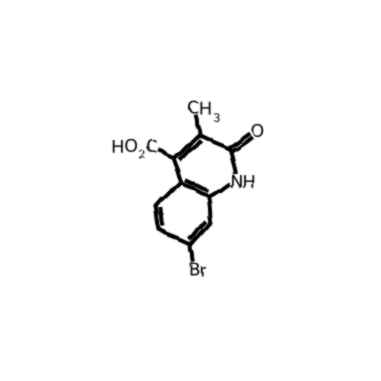 Cc1c(C(=O)O)c2ccc(Br)cc2[nH]c1=O